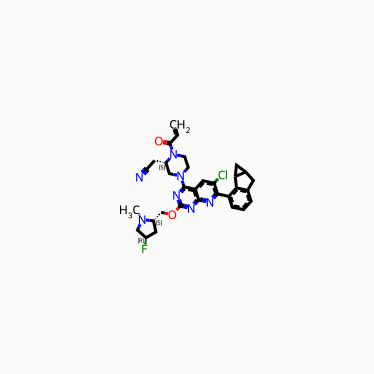 C=CC(=O)N1CCN(c2nc(OC[C@@H]3C[C@@H](F)CN3C)nc3nc(-c4cccc5c4C4CC4C5)c(Cl)cc23)C[C@@H]1CC#N